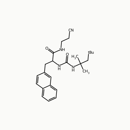 CC(C)(C)CC(C)(C)NC(=O)NC(Cc1ccc2ccccc2c1)C(=O)NCCC#N